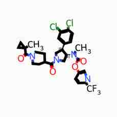 CN(C(=O)Oc1ccc(C(F)(F)F)nc1)[C@@H]1CN(C(=O)C2CCN(C(=O)C3(C)CC3)CC2)C[C@H]1c1ccc(Cl)c(Cl)c1